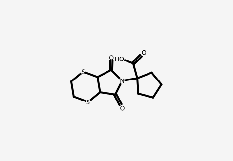 O=C1C2SCCSC2C(=O)N1C1(C(=O)O)CCCC1